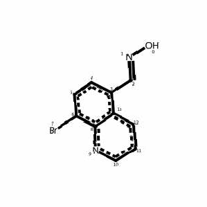 ON=Cc1ccc(Br)c2ncccc12